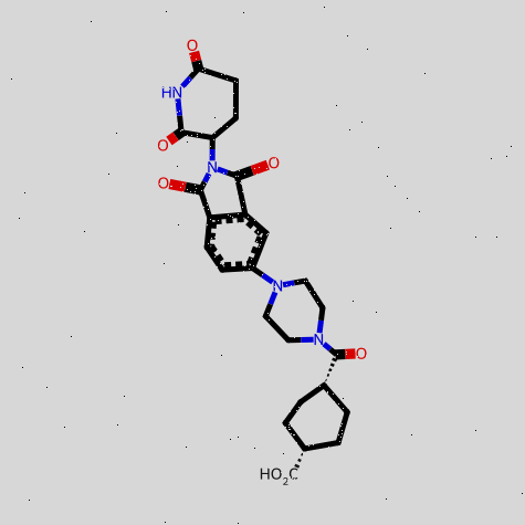 O=C1CCC(N2C(=O)c3ccc(N4CCN(C(=O)[C@H]5CC[C@@H](C(=O)O)CC5)CC4)cc3C2=O)C(=O)N1